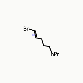 CCCCCC/C=C/Br